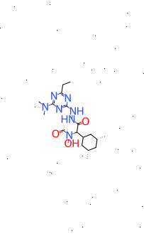 CCc1nc(NNC(=O)C(C2C[C@@H](C)C[C@@H](C)C2)N(O)C=O)nc(N(C)C)n1